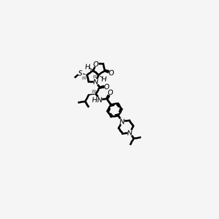 CS[C@H]1CN(C(=O)[C@H](CC(C)C)NC(=O)c2ccc(N3CCN(C(C)C)CC3)cc2)[C@@H]2C(=O)CO[C@H]12